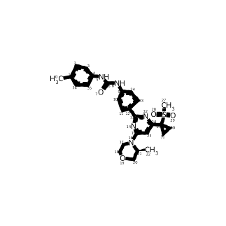 Cc1ccc(NC(=O)Nc2ccc(-c3nc(N4CCOC[C@@H]4C)cc(C4(S(C)(=O)=O)CC4)n3)cc2)cc1